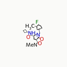 CNC(=O)c1cc(C(=O)NC2CCC2)cn(Cc2ccc(F)c(C)c2)c1=O